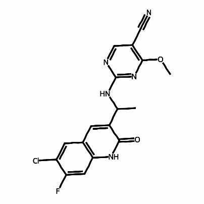 COc1nc(NC(C)c2cc3cc(Cl)c(F)cc3[nH]c2=O)ncc1C#N